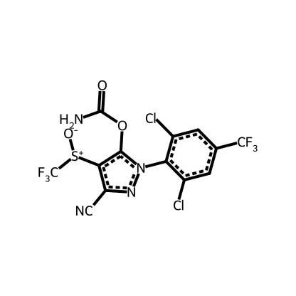 N#Cc1nn(-c2c(Cl)cc(C(F)(F)F)cc2Cl)c(OC(N)=O)c1[S+]([O-])C(F)(F)F